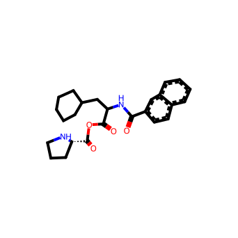 O=C(NC(CC1CCCCC1)C(=O)OC(=O)[C@@H]1CCCN1)c1ccc2ccccc2c1